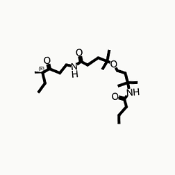 CCCC(=O)NC(C)(C)CCOC(C)(C)CCC(=O)NCCC(=O)[C@H](C)CC